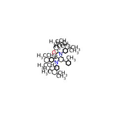 Cc1ccccc1[C@@H]1C=C2C3=C(C1)N(c1ccc4c(c1)C(C)(C)CCC4(C)C)c1cc4c(cc1B3C1=C(C3C=C(C(C)(C)C)C=CC3O1)N2c1ccc2c(c1)C(C)(C)CCC2(C)C)C(C)(C)CCC4(C)C